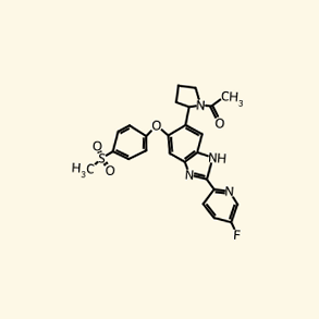 CC(=O)N1CCCC1c1cc2[nH]c(-c3ccc(F)cn3)nc2cc1Oc1ccc(S(C)(=O)=O)cc1